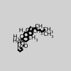 CC(C)=CCC[C@@H](C)[C@H]1CC[C@@]2(C)C3=C(CC[C@]12C)[C@@]1(C)CC[C@H](OC(=O)[C@@H]2CCCN2)C(C)(C)C1CC3